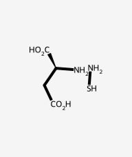 NS.N[C@@H](CC(=O)O)C(=O)O